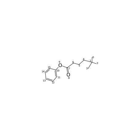 CC(C)(C)CCCC(=O)Oc1ccccc1